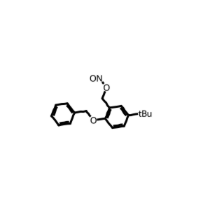 CC(C)(C)c1ccc(OCc2ccccc2)c(CON=O)c1